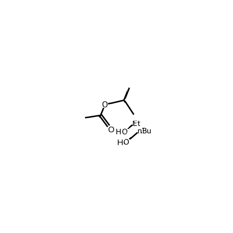 CC(=O)OC(C)C.CCCCO.CCO